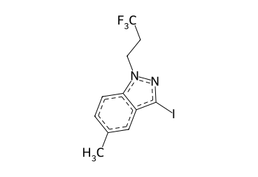 Cc1ccc2c(c1)c(I)nn2CCC(F)(F)F